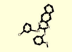 COc1ccccc1Sc1nc2cc3ccccc3cc2nc1Nc1cccc(Cl)c1